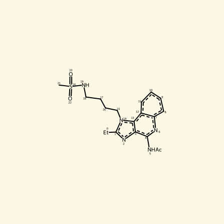 CCc1nc2c(NC(C)=O)nc3ccccc3c2n1CCCCNS(C)(=O)=O